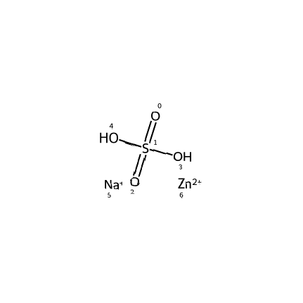 O=S(=O)(O)O.[Na+].[Zn+2]